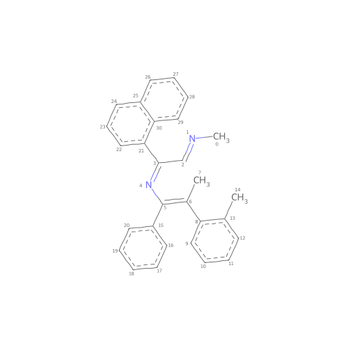 C/N=C/C(=N\C(=C(/C)c1ccccc1C)c1ccccc1)c1cccc2ccccc12